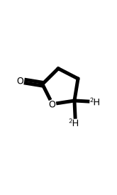 [2H]C1([2H])CCC(=O)O1